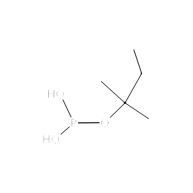 CCC(C)(C)OP(O)O